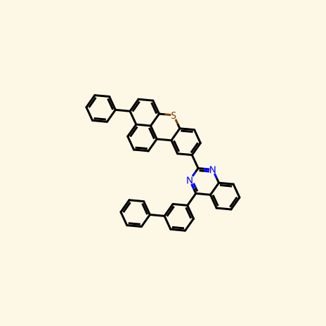 c1ccc(-c2cccc(-c3nc(-c4ccc5c(c4)-c4cccc6c(-c7ccccc7)ccc(c46)S5)nc4ccccc34)c2)cc1